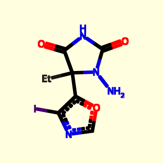 CCC1(c2ocnc2I)C(=O)NC(=O)N1N